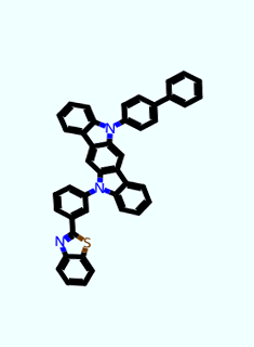 c1ccc(-c2ccc(-n3c4ccccc4c4cc5c(cc43)c3ccccc3n5-c3cccc(-c4nc5ccccc5s4)c3)cc2)cc1